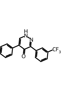 O=c1c(-c2ccccc2)c[nH]nc1-c1cccc(C(F)(F)F)c1